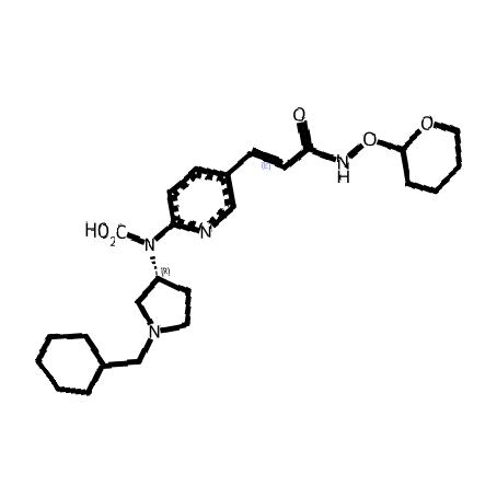 O=C(/C=C/c1ccc(N(C(=O)O)[C@@H]2CCN(CC3CCCCC3)C2)nc1)NOC1CCCCO1